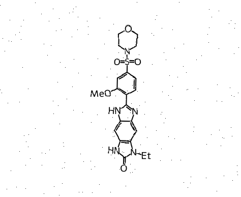 CCn1c(=O)[nH]c2cc3[nH]c(-c4ccc(S(=O)(=O)N5CCOCC5)cc4OC)nc3cc21